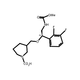 COC(=O)NC[C@H](OCC1CCCN(C(=O)O)C1)c1cccc(F)c1F